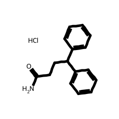 Cl.NC(=O)CCC(c1ccccc1)c1ccccc1